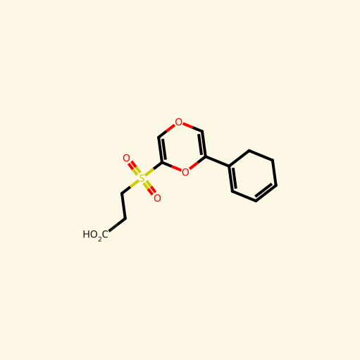 O=C(O)CCS(=O)(=O)C1=COC=C(C2=CC=CCC2)O1